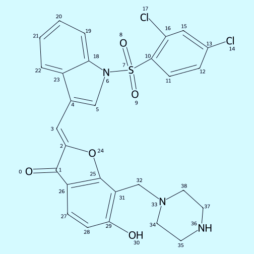 O=C1C(=Cc2cn(S(=O)(=O)c3ccc(Cl)cc3Cl)c3ccccc23)Oc2c1ccc(O)c2CN1CCNCC1